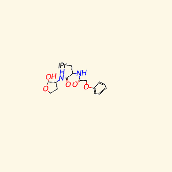 CC(C)CC(NC(=O)COc1ccccc1)C(=O)N[C@H]1CCOC1O